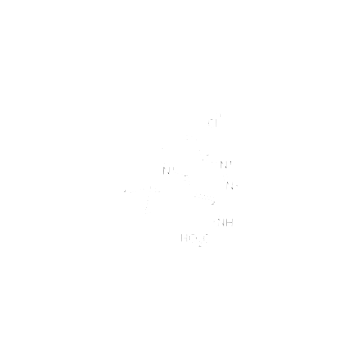 CN(c1cc(NC(=O)O)nnc1CCl)C1CC1